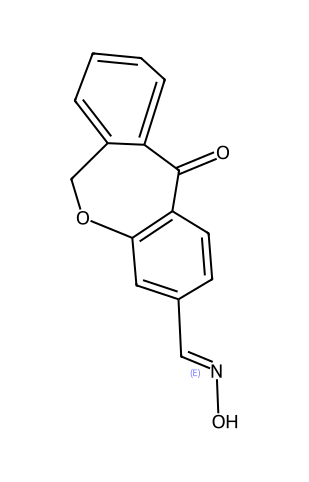 O=C1c2ccccc2COc2cc(/C=N/O)ccc21